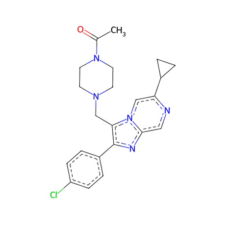 CC(=O)N1CCN(Cc2c(-c3ccc(Cl)cc3)nc3cnc(C4CC4)cn23)CC1